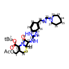 CC(=O)OCC1=C(C(=O)OC(C)(C)C)N2C(=O)C(Nc3nc4cc(CN=CN5CCCCCC5)ccc4[nH]3)[C@@H]2SC1